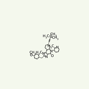 COc1ccc(Cc2nc3c(=O)n(-c4cccnc4C)c4cc(C#C[Si](C)(C)C)ccc4c3n2C)cc1